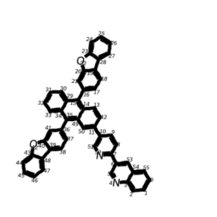 c1ccc2ncc(-c3ccc(-c4ccc5c(-c6ccc7c(c6)oc6ccccc67)c6ccccc6c(-c6ccc7c(c6)oc6ccccc67)c5c4)cn3)cc2c1